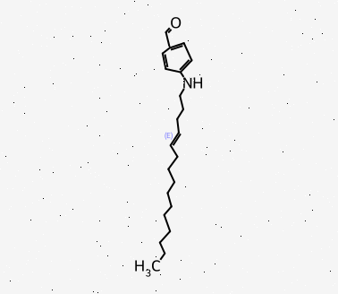 CCCCCCCCCC/C=C/CCCNc1ccc(C=O)cc1